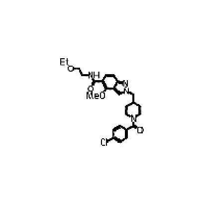 CCOCCNC(=O)c1ccc2nn(CC3CCN(C(=O)c4ccc(Cl)cc4)CC3)cc2c1OC